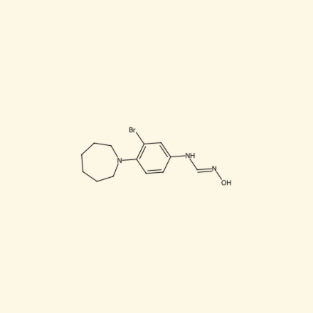 O/N=C/Nc1ccc(N2CCCCCC2)c(Br)c1